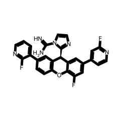 N=C(N)n1ccnc1[C@@H]1c2cc(-c3cccnc3F)ccc2Oc2c(F)cc(-c3ccnc(F)c3)cc21